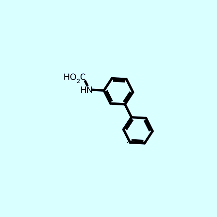 O=C(O)Nc1cccc(-c2c[c]ccc2)c1